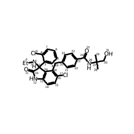 CCNC1(c2ccccc2Cl)C(=O)Nc2ccc(Cl)c(Cc3ccc(C(=O)NC(C)(C)CO)cc3)c21